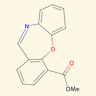 COC(=O)c1cccc2c1Oc1ccccc1N=C2